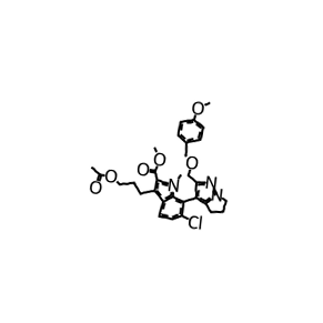 COC(=O)c1c(CCCOC(C)=O)c2ccc(Cl)c(-c3c(COCc4ccc(OC)cc4)nn4c3CCC4)c2n1C